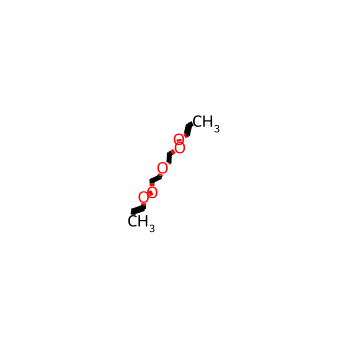 CC=COOCCOCCOOC=CC